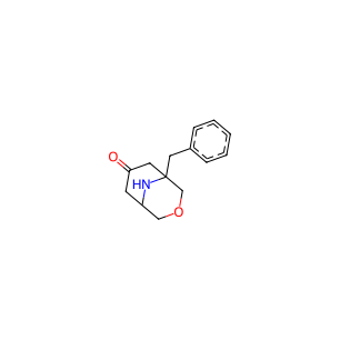 O=C1CC2COCC(Cc3ccccc3)(C1)N2